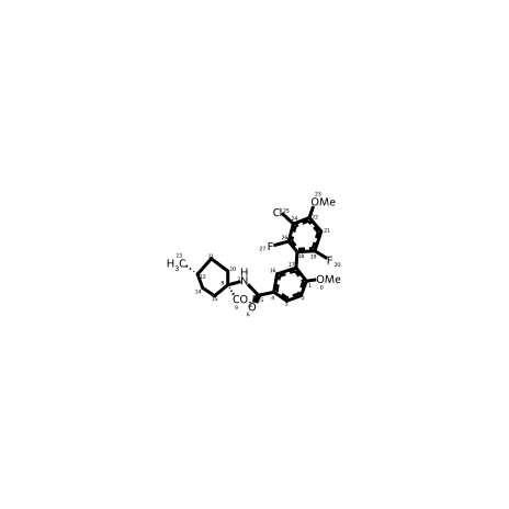 COc1ccc(C(=O)N[C@]2(C(=O)O)CC[C@@H](C)CC2)cc1-c1c(F)cc(OC)c(Cl)c1F